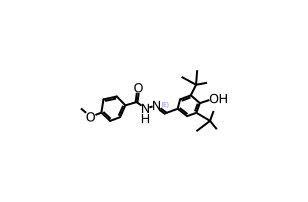 COc1ccc(C(=O)N/N=C/c2cc(C(C)(C)C)c(O)c(C(C)(C)C)c2)cc1